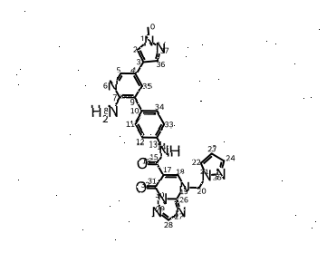 Cn1cc(-c2cnc(N)c(-c3ccc(NC(=O)c4cn(Cn5cccn5)c5ncnn5c4=O)cc3)c2)cn1